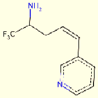 NC(C/C=C\c1cccnc1)C(F)(F)F